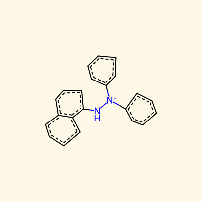 c1ccc([N+](Nc2cccc3ccccc23)c2ccccc2)cc1